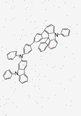 c1ccc(N(c2ccc(-c3ccc4c(c3)C3(c5ccccc5)c5ccccc5N(c5ccccc5)c5cccc-4c53)cc2)c2ccc3c4ccccc4n(-c4ccccc4)c3c2)cc1